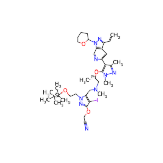 C=Cc1nn(C2CCCCO2)c2cnc(-c3c(C)nn(C)c3O[C@@H](C)CN(C)Cc3c(I)c(OCC#N)nn3CCO[Si](C)(C)C(C)(C)C)cc12